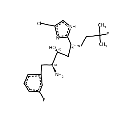 CC(C)(F)CC[C@H](C[C@H](O)[C@@H](N)Cc1cccc(F)c1)c1nc(Cl)c[nH]1